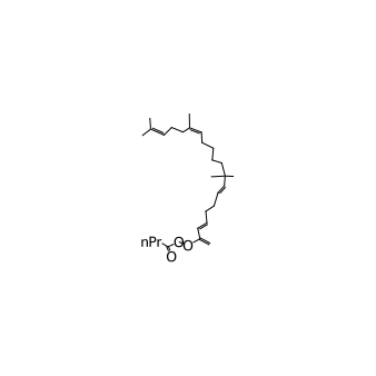 C=C(C=CCCC=CC(C)(C)CCCCC=C(C)CCC=C(C)C)OOC(=O)CCC